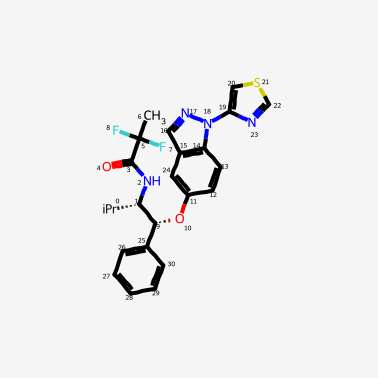 CC(C)[C@H](NC(=O)C(C)(F)F)[C@H](Oc1ccc2c(cnn2-c2cscn2)c1)c1ccccc1